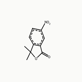 CC1(C)OC(=O)c2cc([N+](=O)[O-])ccc21